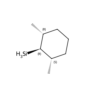 C[C@@H]1CCC[C@H](C)[C@H]1[SiH3]